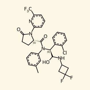 Cc1cccc(N(C(=O)[C@@H]2CCC(=O)N2c2cccc(C(F)(F)F)n2)[C@@H](c2ccccc2Cl)C(O)NC2CC(F)(F)C2)c1